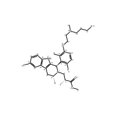 COC(=O)[C@H](C)CN1[C@H](c2c(F)cnc(OCCN(C)CCCF)c2C)c2[nH]c3ccc(F)cc3c2C[C@H]1C